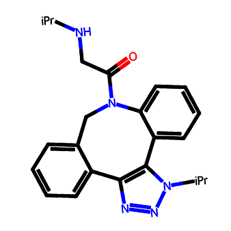 CC(C)NCC(=O)N1Cc2ccccc2-c2nnn(C(C)C)c2-c2ccccc21